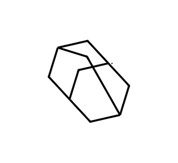 C1[C]2CC3CC1CC(C2)C3